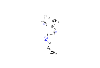 C=CC/N=C\C=C/[C@@H](C)/C=C\C